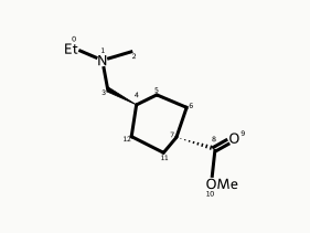 CCN(C)C[C@H]1CC[C@H](C(=O)OC)CC1